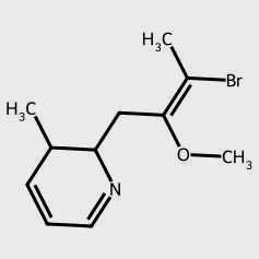 CO/C(CC1N=CC=CC1C)=C(/C)Br